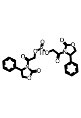 O=C(CO[PH](=O)OCC(=O)N1C(=O)OCC1c1ccccc1)N1C(=O)OCC1c1ccccc1